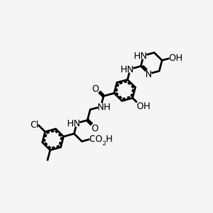 Cc1cc(Cl)cc(C(CC(=O)O)NC(=O)CNC(=O)c2cc(O)cc(NC3=NCC(O)CN3)c2)c1